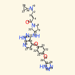 CN(C/C=C/C(=O)N1CCC(Nc2n[nH]c3nccc(Oc4ccc(OCc5cnn[nH]5)cc4)c23)C1)C1CC1